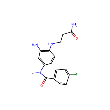 CN(C(=O)c1ccc(F)cc1)c1ccc(NCCC(N)=O)c(N)c1